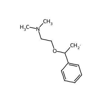 [CH2]C(OCCN(C)C)c1ccccc1